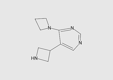 c1ncc(C2CNC2)c(N2CCC2)n1